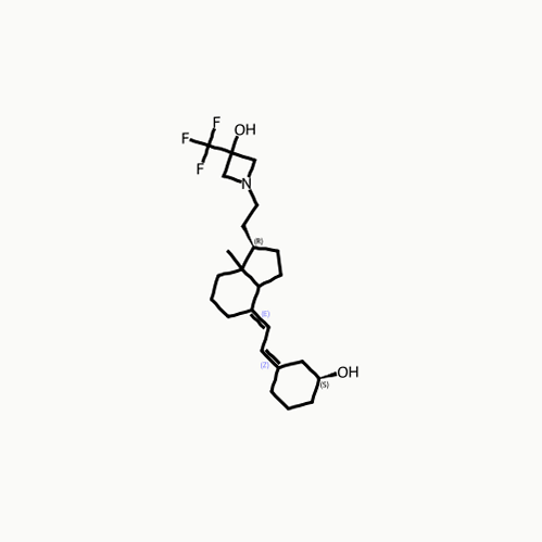 CC12CCC/C(=C\C=C3\CCC[C@H](O)C3)C1CC[C@@H]2CCN1CC(O)(C(F)(F)F)C1